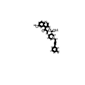 COc1ccc2ncc(F)c(C(=O)CC[C@H]3CCN(CC#Cc4cccc(F)c4)C[C@H]3C(=O)O)c2c1